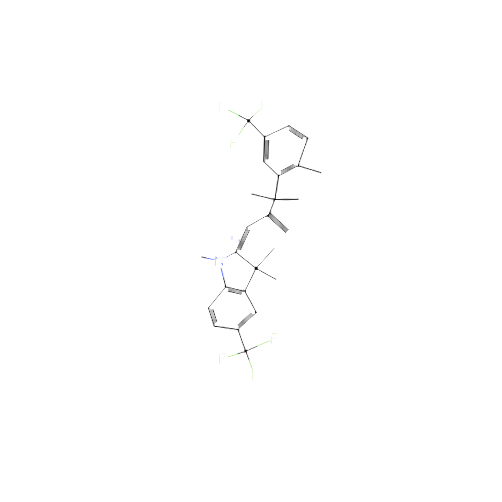 C=C(/C=C1/N(C)c2ccc(C(F)(F)F)cc2C1(C)C)C(C)(C)c1cc(C(F)(F)F)ccc1C